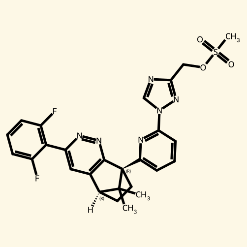 CC1(C)[C@H]2CC[C@@]1(c1cccc(-n3cnc(COS(C)(=O)=O)n3)n1)c1nnc(-c3c(F)cccc3F)cc12